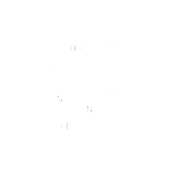 [2H]CC(O)c1c(Cl)nc(Cl)nc1Cl